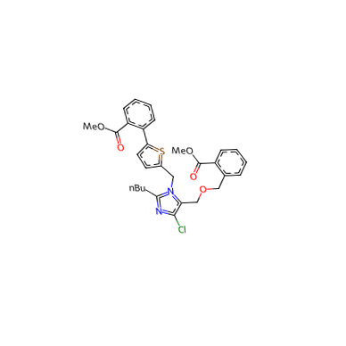 CCCCc1nc(Cl)c(COCc2ccccc2C(=O)OC)n1Cc1ccc(-c2ccccc2C(=O)OC)s1